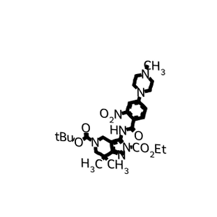 CCOC(=O)n1nc2c(c1NC(=O)c1ccc(N3CCN(C)CC3)cc1[N+](=O)[O-])CN(C(=O)OC(C)(C)C)CC2(C)C